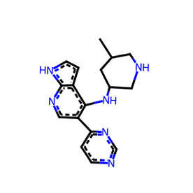 CC1CNCC(Nc2c(-c3ccncn3)cnc3[nH]ccc23)C1